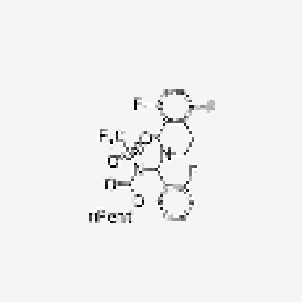 CCCCCOC(=O)N(C(c1ccccc1F)N1CCc2c(F)ccc(F)c2C1=O)S(=O)(=O)C(F)(F)F